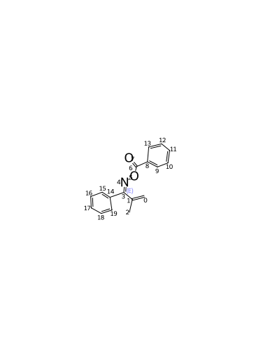 C=C(C)/C(=N\OC(=O)c1ccccc1)c1ccccc1